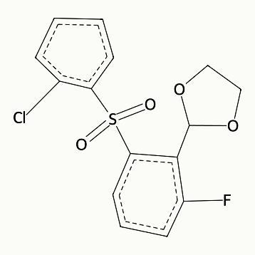 O=S(=O)(c1ccccc1Cl)c1cccc(F)c1C1OCCO1